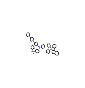 CC1(C)c2ccccc2-c2c(N(c3ccc(-c4ccc(-c5ccccc5)cc4)cc3)c3ccc(-c4cccc5c4-c4ccccc4C54c5ccccc5-c5c4ccc4ccccc54)cc3)cccc21